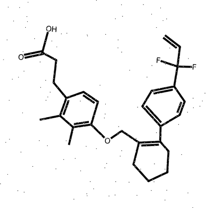 C=CC(F)(F)c1ccc(C2=C(COc3ccc(CCC(=O)O)c(C)c3C)CCCC2)cc1